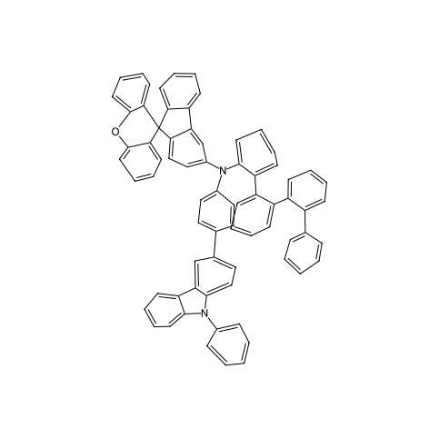 c1ccc(-c2ccccc2-c2ccccc2-c2ccccc2N(c2ccc(-c3ccc4c(c3)c3ccccc3n4-c3ccccc3)cc2)c2ccc3c(c2)-c2ccccc2C32c3ccccc3Oc3ccccc32)cc1